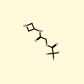 O=C(COC(=O)C(F)(F)F)NC1CNC1